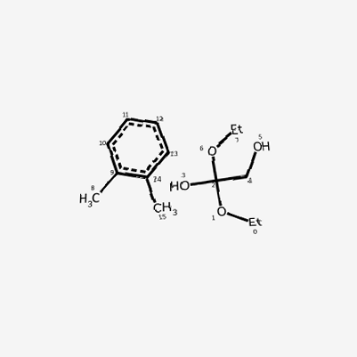 CCOC(O)(CO)OCC.Cc1ccccc1C